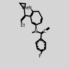 C=C=C(c1ccc(F)cc1)N(C)C1=CC(/C(=C\CC)C2CC2)=C(NC)CC=C1